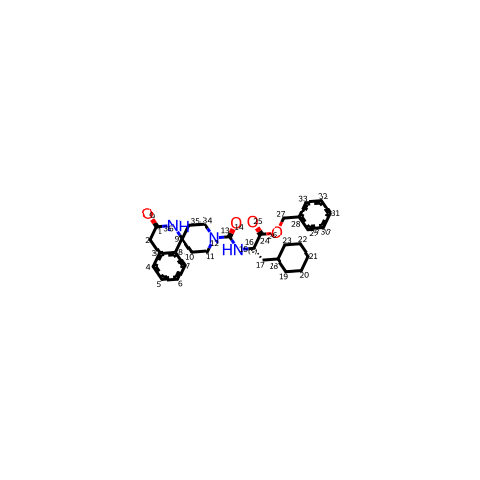 O=C1Cc2ccccc2C2(CCN(C(=O)N[C@@H](CC3CCCCC3)C(=O)OCc3ccccc3)CC2)N1